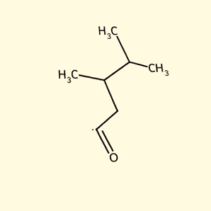 CC(C)C(C)C[C]=O